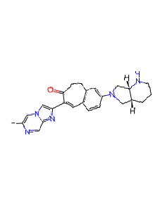 Cc1cn2cc(C3=Cc4ccc(N5C[C@H]6CCCN[C@H]6C5)cc4CCC3=O)nc2cn1